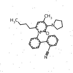 CCCCc1cc(C)c(N2CCCC2)c(=O)n1-c1ccccc1-c1ccccc1C#N